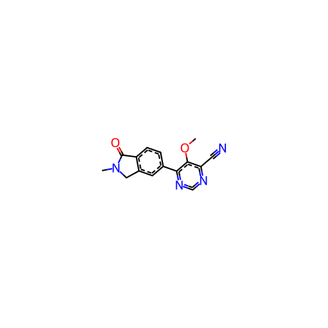 COc1c(C#N)ncnc1-c1ccc2c(c1)CN(C)C2=O